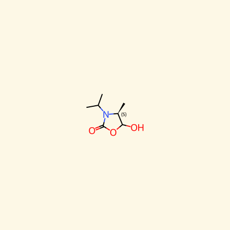 CC(C)N1C(=O)OC(O)[C@@H]1C